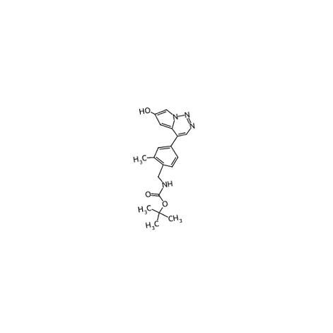 Cc1cc(-c2cnnn3cc(O)cc23)ccc1CNC(=O)OC(C)(C)C